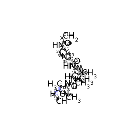 C#C/C=C\C=C(/C)[C@@H](CN(C)C)NC(=O)N1Cc2c(NC(=O)c3cc4cc(NC(=O)C=C)ccn4c3)nn(C)c2C1(C)C